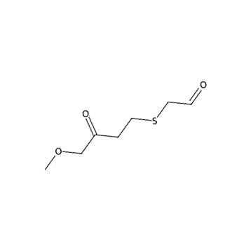 COCC(=O)CCSCC=O